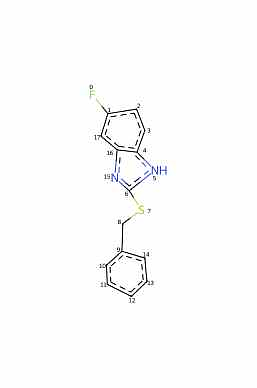 Fc1ccc2[nH]c(SCc3ccccc3)nc2c1